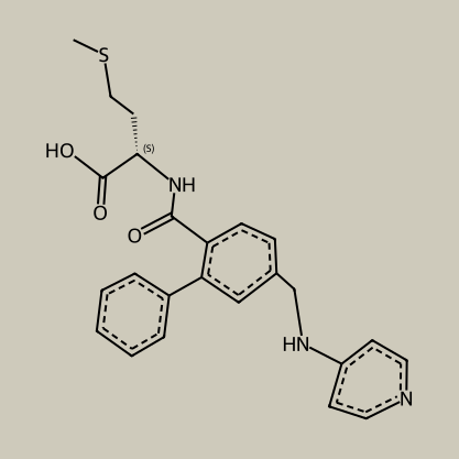 CSCC[C@H](NC(=O)c1ccc(CNc2ccncc2)cc1-c1ccccc1)C(=O)O